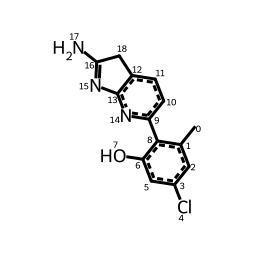 Cc1cc(Cl)cc(O)c1-c1ccc2c(n1)N=C(N)C2